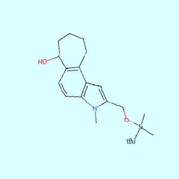 Cn1c(CO[Si](C)(C)C(C)(C)C)cc2c3c(ccc21)C(O)CCCC3